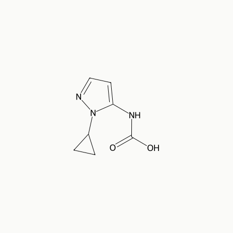 O=C(O)Nc1ccnn1C1CC1